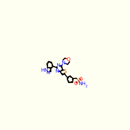 NS(=O)(=O)Cc1cccc(-c2cc3nc(-c4cccc5[nH]ncc45)nc(N4CCOCC4)c3s2)c1